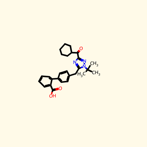 CC(C)(C)n1nc(C(=O)C2CCCCC2)nc1Cc1ccc(-c2ccccc2C(=O)O)cc1